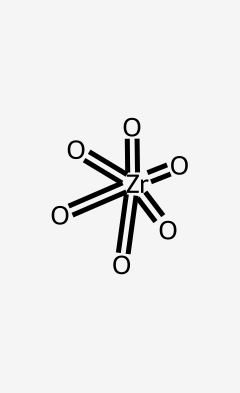 [O]=[Zr](=[O])(=[O])(=[O])(=[O])=[O]